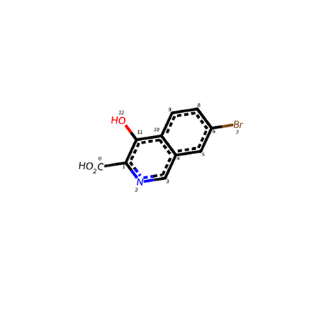 O=C(O)c1ncc2cc(Br)ccc2c1O